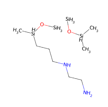 C[SiH](C)O[SiH3].C[SiH](CCCNCCN)O[SiH3]